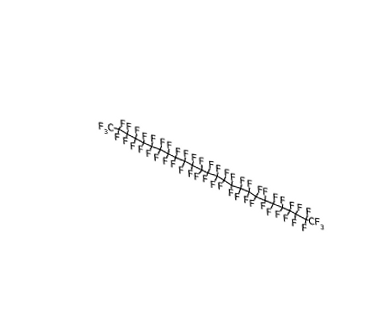 FC(F)(F)C(F)(F)C(F)(F)C(F)(F)C(F)(F)C(F)(F)C(F)(F)C(F)(F)C(F)(F)C(F)(F)C(F)(F)C(F)(F)C(F)(F)C(F)(F)C(F)(F)C(F)(F)C(F)(F)C(F)(F)C(F)(F)C(F)(F)C(F)(F)C(F)(F)C(F)(F)C(F)(F)C(F)(F)C(F)(F)F